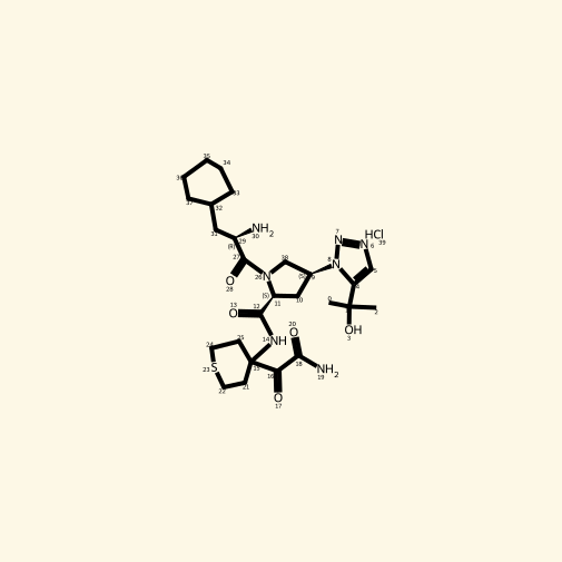 CC(C)(O)c1cnnn1[C@H]1C[C@@H](C(=O)NC2(C(=O)C(N)=O)CCSCC2)N(C(=O)[C@H](N)CC2CCCCC2)C1.Cl